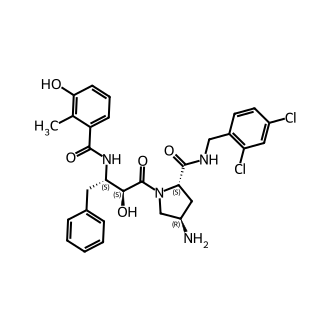 Cc1c(O)cccc1C(=O)N[C@@H](Cc1ccccc1)[C@H](O)C(=O)N1C[C@H](N)C[C@H]1C(=O)NCc1ccc(Cl)cc1Cl